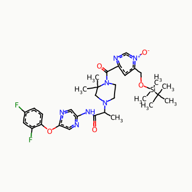 CC(C(=O)Nc1cnc(Oc2ccc(F)cc2F)cn1)N1CCN(C(=O)c2cc(CO[Si](C)(C)C(C)(C)C)[n+]([O-])cn2)C(C)(C)C1